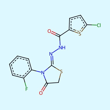 O=C(NN=C1SCC(=O)N1c1ccccc1F)c1ccc(Cl)s1